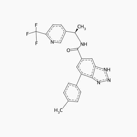 Cc1ccc(-c2cc(C(=O)N[C@H](C)c3ccc(C(F)(F)F)nc3)cc3[nH]nnc23)cc1